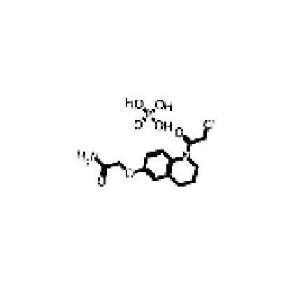 NC(=O)COc1ccc2c(c1)CCCN2C(=O)CCl.O=P(O)(O)O